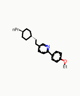 CCC[C@H]1CC[C@H](CCc2ccc(-c3ccc(OCC)cc3)nc2)CC1